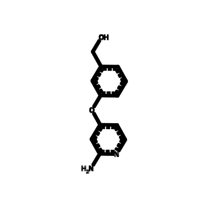 Nc1cc(Oc2cccc(CO)c2)ccn1